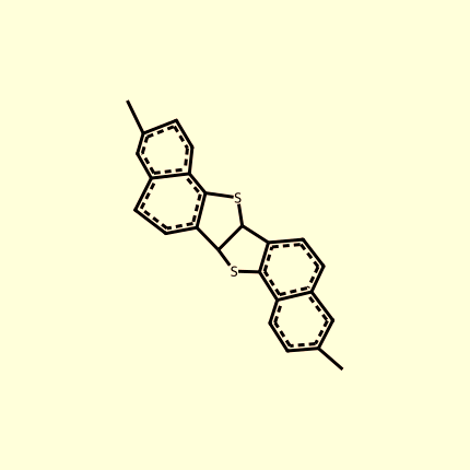 Cc1ccc2c3c(ccc2c1)C1Sc2c(ccc4cc(C)ccc24)C1S3